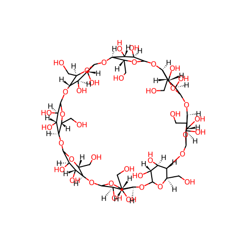 OCC1OC2O[C@H]3[C@H](O)[C@@H](O)C(O[C@H]4[C@H](O)[C@@H](O)C(O[C@H]5[C@H](O)[C@@H](O)C(O[C@H]6[C@H](O)[C@@H](O)C(O[C@H]7[C@H](O)[C@@H](O)C(O[C@H]8[C@H](O)[C@@H](O)C(O[C@H]9[C@H](O)[C@@H](O)C(O[C@H]1[C@H](O)[C@H]2O)O[C@@H]9CO)O[C@@H]8CO)O[C@@H]7CO)O[C@@H]6CO)O[C@@H]5CO)O[C@@H]4CO)O[C@@H]3CO